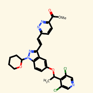 COC(=O)c1ccc(/C=C/c2nn(C3CCCCO3)c3ccc(OC(C)c4c(Cl)cncc4Cl)cc23)nn1